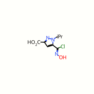 CC(C)n1nc(C(=O)O)cc1C(Cl)=NO